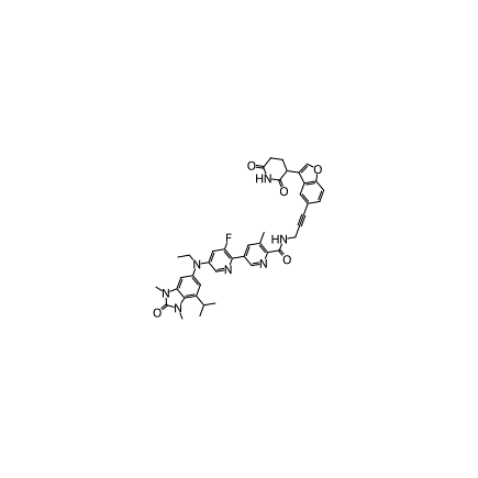 CCN(c1cnc(-c2cnc(C(=O)NCC#Cc3ccc4occ(C5CCC(=O)NC5=O)c4c3)c(C)c2)c(F)c1)c1cc(C(C)C)c2c(c1)n(C)c(=O)n2C